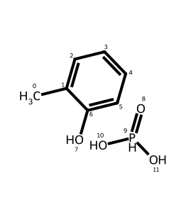 Cc1ccccc1O.O=[PH](O)O